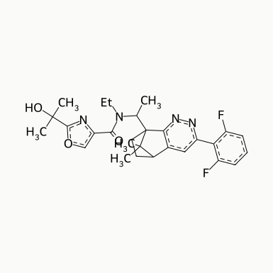 CCN(C(=O)c1coc(C(C)(C)O)n1)C(C)C12CCC(c3cc(-c4c(F)cccc4F)nnc31)C2(C)C